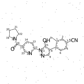 Cc1cc(C#N)ccc1-c1cnn(-c2ccc(C(=O)N3CCCC3)cn2)c1O